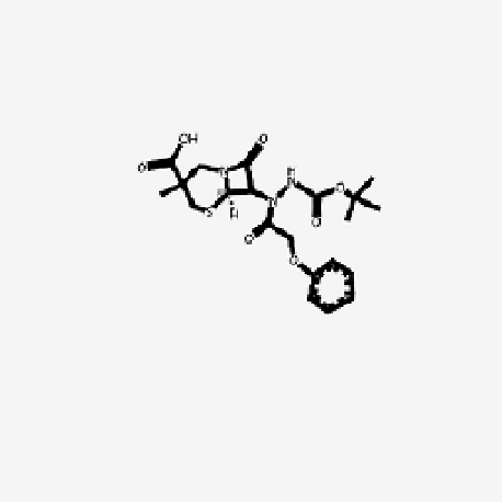 CC(C)(C)OC(=O)NN(C(=O)COc1ccccc1)C1C(=O)N2CC(C)(C(=O)O)CS[C@H]12